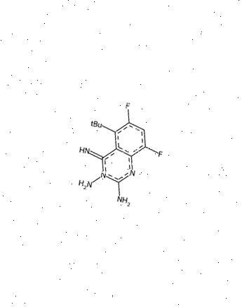 CC(C)(C)c1c(F)cc(F)c2nc(N)n(N)c(=N)c12